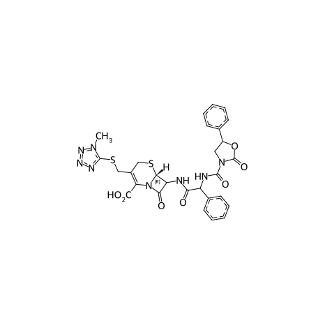 Cn1nnnc1SCC1=C(C(=O)O)N2C(=O)C(NC(=O)C(NC(=O)N3CC(c4ccccc4)OC3=O)c3ccccc3)[C@H]2SC1